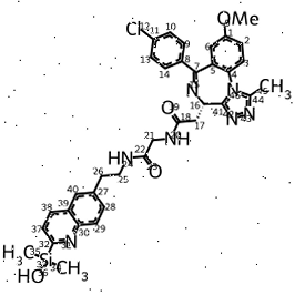 COc1ccc2c(c1)C(c1ccc(Cl)cc1)=N[C@@H](CC(=O)NCC(=O)NCCc1ccc3nc([Si](C)(C)O)ccc3c1)c1nnc(C)n1-2